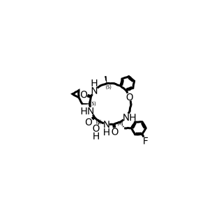 C[C@@H]1CNC(=O)[C@H](CC2CC2)NC(=O)[C@@H](O)NC(=O)[C@@H](Cc2cccc(F)c2)NCCOc2ccccc2C1